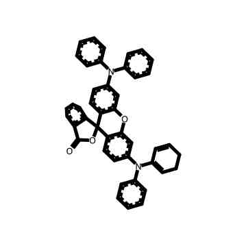 O=C1OC2(c3ccc(N(C4=CCCC=C4)c4ccccc4)cc3Oc3cc(N(c4ccccc4)c4ccccc4)ccc32)c2ccccc21